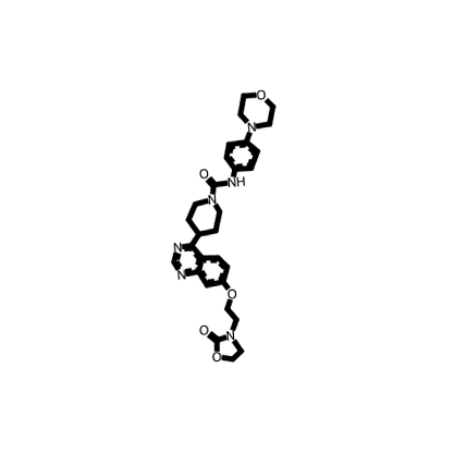 O=C(Nc1ccc(N2CCOCC2)cc1)N1CCC(c2ncnc3cc(OCCN4CCOC4=O)ccc23)CC1